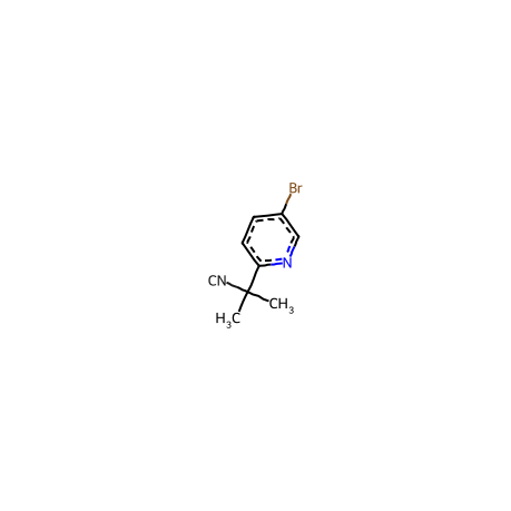 [C-]#[N+]C(C)(C)c1ccc(Br)cn1